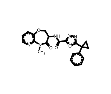 CN1C(=O)C(NC(=O)c2nnc(C3(c4ccccc4)CC3)o2)COc2cccnc21